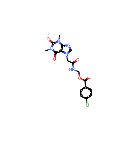 Cn1c(=O)c2c(ncn2CC(=O)NCOC(=O)c2ccc(Cl)cc2)n(C)c1=O